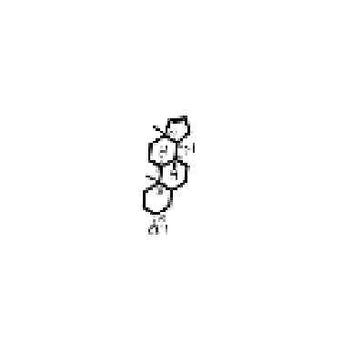 C[C@@]12C=CC[C@H]1[C@@H]1CCC3C[C@H](O)CC[C@]3(C)[C@H]1CC2